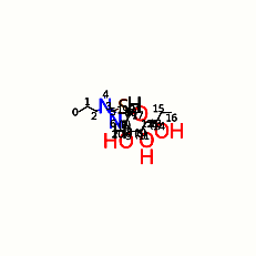 CCCN(C)C1=N[C@@H]2C(O)[C@H](O)C([C@@H](O)CC)O[C@@H]2S1